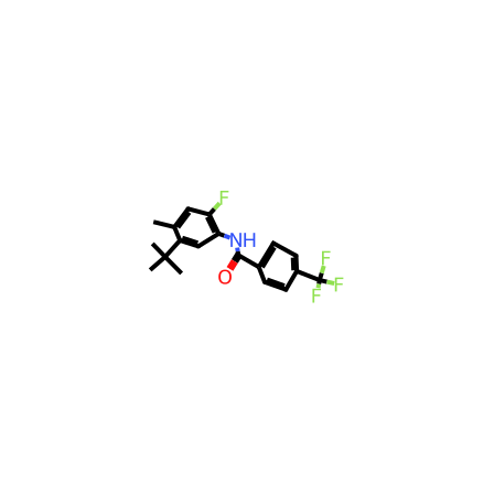 Cc1cc(F)c(NC(=O)c2ccc(C(F)(F)F)cc2)cc1C(C)(C)C